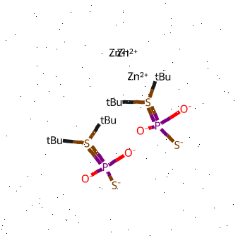 CC(C)(C)S(C(C)(C)C)=P([O-])([O-])[S-].CC(C)(C)S(C(C)(C)C)=P([O-])([O-])[S-].[Zn+2].[Zn+2].[Zn+2]